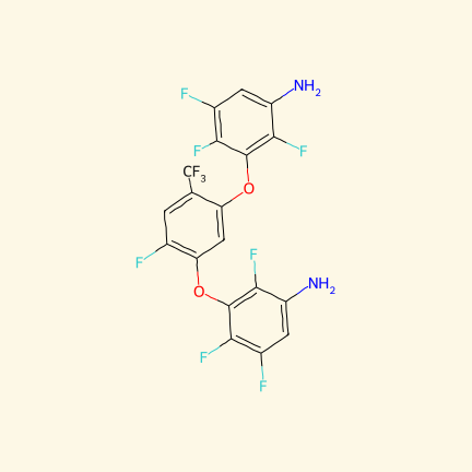 Nc1cc(F)c(F)c(Oc2cc(Oc3c(F)c(N)cc(F)c3F)c(C(F)(F)F)cc2F)c1F